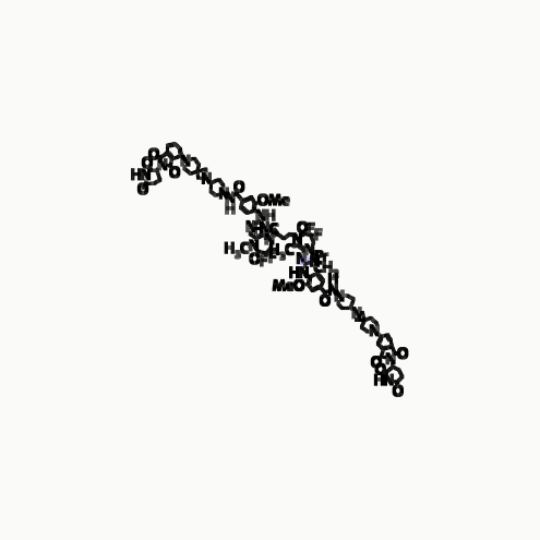 C=N/C(=N\C1=C(C)N(CCC(C)N2CC(F)(F)C(=O)N(C)c3cnc(Nc4ccc(C(=O)NN5CCC(N6CC7(CCN(c8cccc9c8C(=O)N(C8CCC(=O)NC8=O)C9=O)CC7)C6)CC5)cc4OC)nc32)C(=O)C(F)(F)CN1C(C)C)Nc1ccc(C(=O)NN2CCC(N3CC4(CCN(c5ccc6c(c5)C(=O)N(C5CCC(=O)NC5=O)C6=O)CC4)C3)CC2)cc1OC